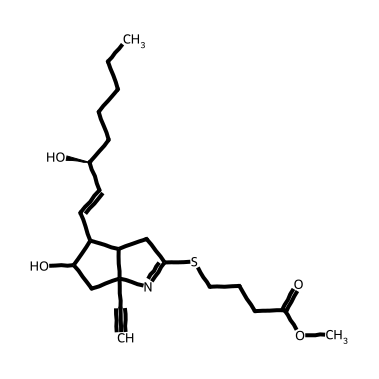 C#CC12CC(O)C(C=C[C@@H](O)CCCCC)C1CC(SCCCC(=O)OC)=N2